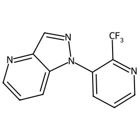 FC(F)(F)c1ncccc1-n1ncc2ncccc21